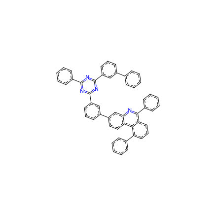 c1ccc(-c2cccc(-c3nc(-c4ccccc4)nc(-c4cccc(-c5ccc6c(c5)nc(-c5ccccc5)c5cccc(-c7ccccc7)c56)c4)n3)c2)cc1